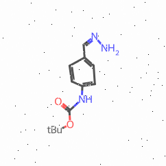 CC(C)(C)OC(=O)Nc1ccc(/C=N\N)cc1